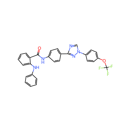 O=C(Nc1ccc(-c2ncn(-c3ccc(OC(F)(F)F)cc3)n2)cc1)c1ccccc1Nc1ccccc1